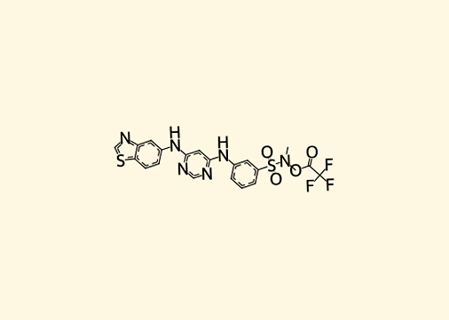 CN(OC(=O)C(F)(F)F)S(=O)(=O)c1cccc(Nc2cc(Nc3ccc4scnc4c3)ncn2)c1